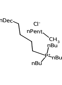 CCCCCC.CCCCCCCCCCCCCC[P+](CCCC)(CCCC)CCCC.[Cl-]